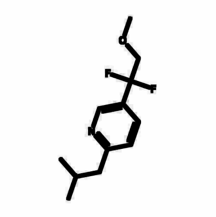 COCC(F)(F)c1ccc(C[C](C)C)nc1